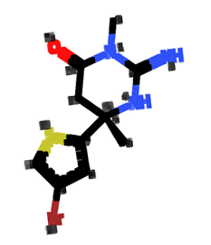 CN1C(=N)N[C@](C)(c2cc(Br)cs2)CC1=O